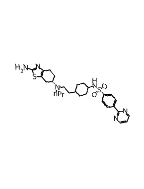 CCCN(CCC1CCC(NS(=O)(=O)c2ccc(-c3ncccn3)cc2)CC1)[C@H]1CCc2nc(N)sc2C1